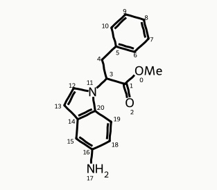 COC(=O)C(Cc1ccccc1)n1ccc2cc(N)ccc21